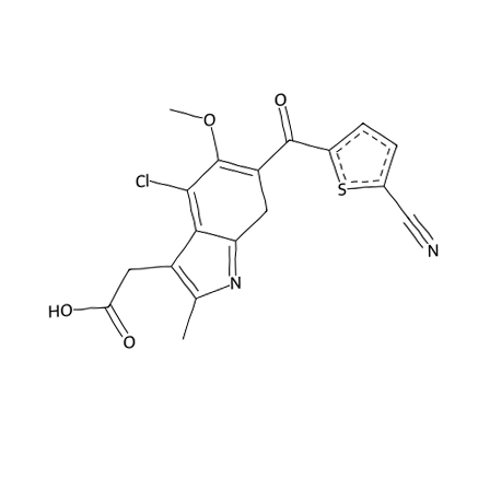 COC1=C(C(=O)c2ccc(C#N)s2)CC2=NC(C)=C(CC(=O)O)C2=C1Cl